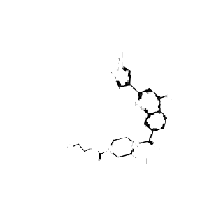 CCCOC(=O)N1CCN(C(=O)c2ccc3c(Cl)cc(-c4cnn(C)c4)nc3c2)[C@@H](C)C1